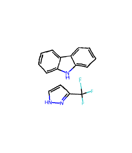 FC(F)(F)c1cc[nH]n1.c1ccc2c(c1)[nH]c1ccccc12